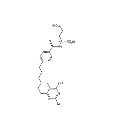 CCOC(=O)CC[C@@H](NC(=O)c1ccc(CCCC2CCc3nc(N)nc(O)c3C2)cc1)C(=O)OCC